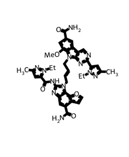 CCn1nc(C)cc1C(=O)Nc1nc2cc(C(N)=O)c3ccoc3c2n1C/C=C/Cn1c2nc(-c3cc(C)nn3CC)ncc2c2cc(C(N)=O)cc(OC)c21